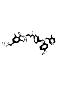 COc1ccc(N(Cc2cnccc2C)C2CCN([C@H](C)CCNC(=O)c3c(C)cc(CN)cc3C)CC2)cc1